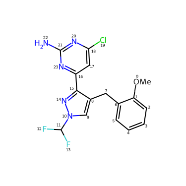 COc1ccccc1Cc1cn(C(F)F)nc1-c1cc(Cl)nc(N)n1